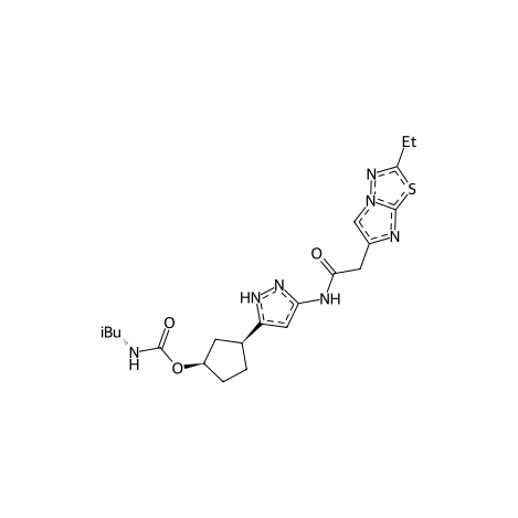 CCc1nn2cc(CC(=O)Nc3cc([C@H]4CC[C@@H](OC(=O)N[C@@H](C)CC)C4)[nH]n3)nc2s1